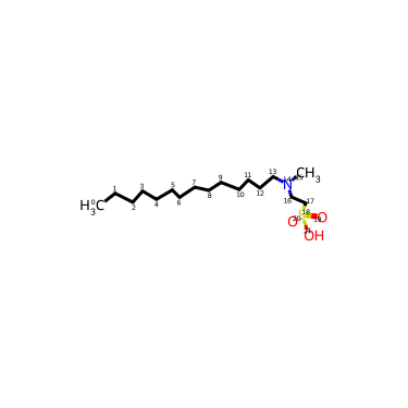 CCCCCCCCCCCCCCN(C)CCS(=O)(=O)O